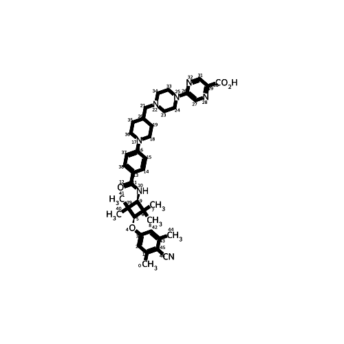 Cc1cc(O[C@H]2C(C)(C)[C@H](NC(=O)c3ccc(N4CCC(CN5CCN(c6cnc(C(=O)O)cn6)CC5)CC4)cc3)C2(C)C)cc(C)c1C#N